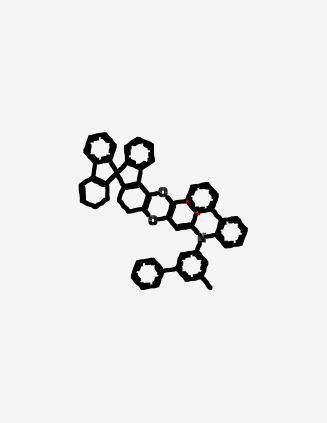 Cc1cc(-c2ccccc2)cc(N(C2=CC3=C(CC2)OC2=C(CCC4=C2c2ccccc2C42C4=C(C=CCC4)c4ccccc42)O3)c2ccccc2-c2ccccc2)c1